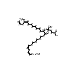 CCCCC/C=C\C/C=C\CCCCCCCC1OC(CCC)(CCN(C)C)OC1CCCCCCC/C=C\C/C=C\CCCCC